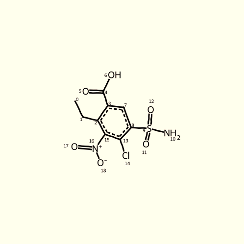 CCc1c(C(=O)O)cc(S(N)(=O)=O)c(Cl)c1[N+](=O)[O-]